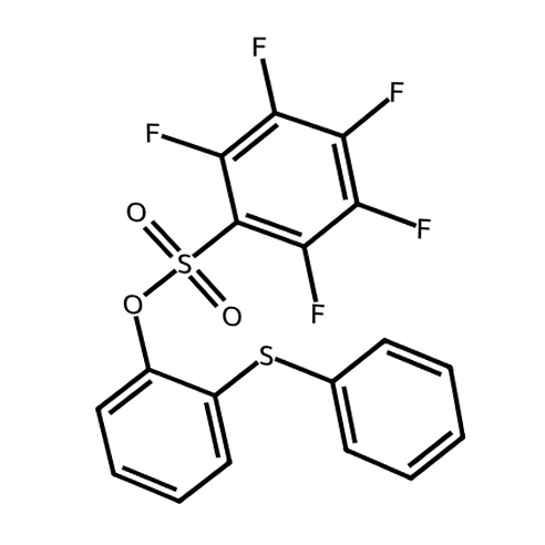 O=S(=O)(Oc1ccccc1Sc1ccccc1)c1c(F)c(F)c(F)c(F)c1F